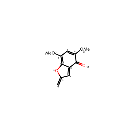 C=c1cc2c(o1)=C(OC)C=C(OC)C2=O